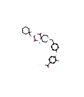 CCCCN1C(=O)[C@@H](CC2(O)CCCCC2)NC(=O)C12CCN(Cc1ccc(Oc3ccc(C(=O)NC)cc3Cl)cc1)CC2.Cl